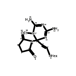 CCCCCCC=CC1(N2C(=O)CCC2=O)N=C(N)N=C(N)N1CC